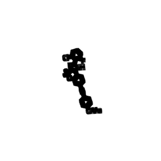 COc1ccc(C#Cc2ccc3c(c2)OC(C)(C)c2nc(-c4c(F)cccc4Cl)[nH]c2-3)cc1